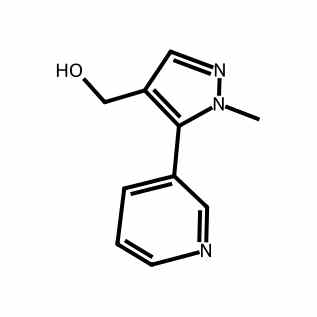 Cn1ncc(CO)c1-c1cccnc1